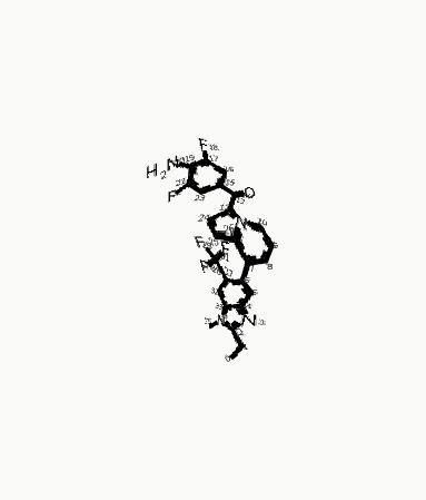 CCc1nc2cc(-c3cccn4c(C(=O)c5cc(F)c(N)c(F)c5)ccc34)c(C(F)(F)F)cc2n1C